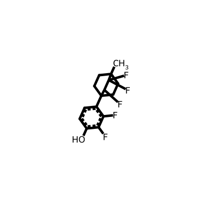 CC12CCC(c3ccc(O)c(F)c3F)(CC1)C(F)C2(F)F